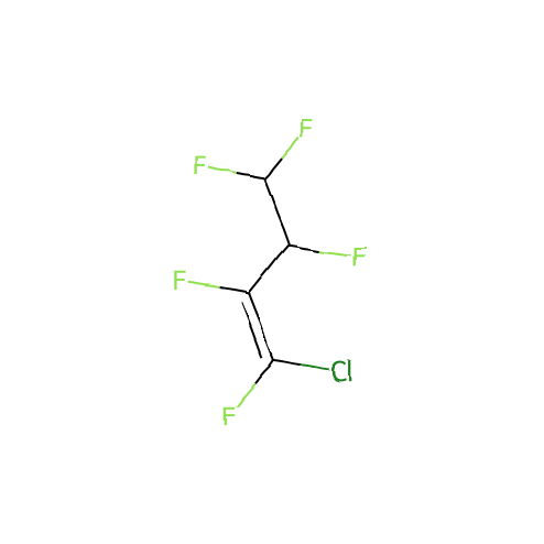 FC(Cl)=C(F)C(F)C(F)F